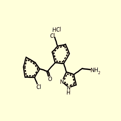 Cl.NCc1c[nH]nc1-c1ccc(Cl)cc1C(=O)c1ccccc1Cl